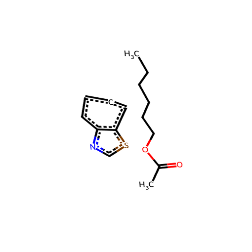 CCCCCCOC(C)=O.c1ccc2scnc2c1